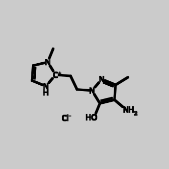 Cc1nn(CC[c+]2[nH]ccn2C)c(O)c1N.[Cl-]